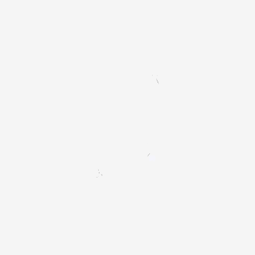 O=[C]CCCCCCCCC/C=C\CCCCCC[N+](=O)[O-]